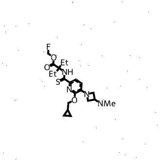 CCC(CC)(NC(=S)c1ccc(N2CC(NC)C2)c(OCC2CC2)n1)C(=O)OCF